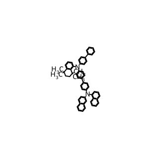 CC1(C)CCC(C)(C)c2c(N(c3ccc(-c4ccccc4)cc3)c3ccc(-c4ccc(N(c5ccc6ccccc6c5)c5cccc6ccccc56)cc4)cc3)cccc21